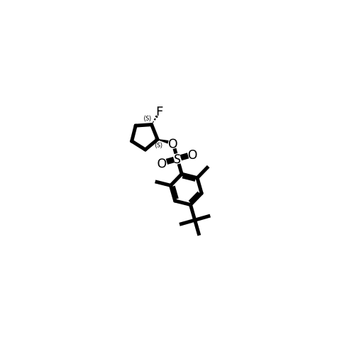 Cc1cc(C(C)(C)C)cc(C)c1S(=O)(=O)O[C@H]1CCC[C@@H]1F